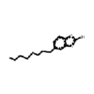 CCCCCCCCc1ccc2nc(S)sc2c1